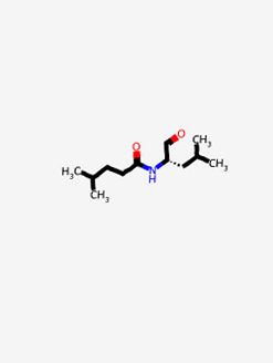 CC(C)CCC(=O)N[C@H](C=O)CC(C)C